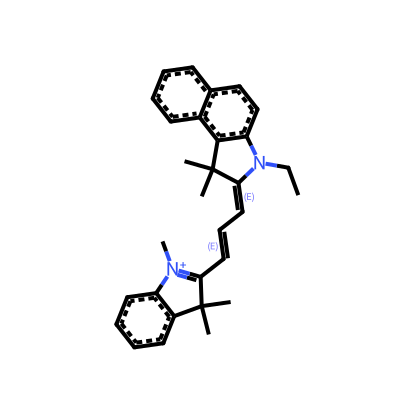 CCN1/C(=C/C=C/C2=[N+](C)c3ccccc3C2(C)C)C(C)(C)c2c1ccc1ccccc21